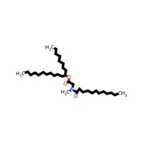 CCCCCCCCCCCC(=O)N(C)CC(=O)OC(CCCCCCCC)CCCCCCCCCCC